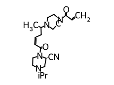 C=CC(=O)N1CCN(C(C)C/C=C\C(=O)N2CCN(C(C)C)C[C@H]2C#N)CC1